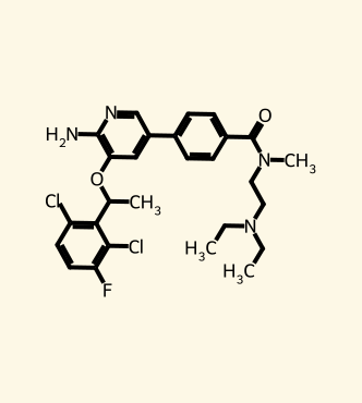 CCN(CC)CCN(C)C(=O)c1ccc(-c2cnc(N)c(OC(C)c3c(Cl)ccc(F)c3Cl)c2)cc1